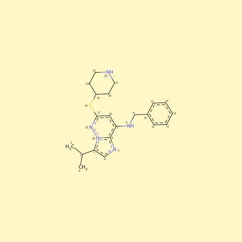 CC(C)c1cnc2c(NCc3ccccc3)cc(SC3CCNCC3)nn12